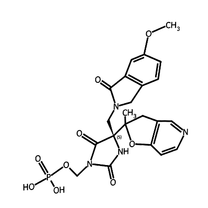 COc1ccc2c(c1)C(=O)N(C[C@@]1(C3(C)Cc4cnccc4O3)NC(=O)N(COP(=O)(O)O)C1=O)C2